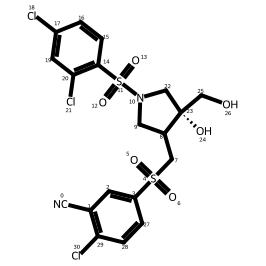 N#Cc1cc(S(=O)(=O)CC2CN(S(=O)(=O)c3ccc(Cl)cc3Cl)C[C@@]2(O)CO)ccc1Cl